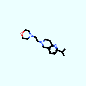 CC(C)c1ccc2c(n1)CCN(CCN1CCOCC1)C2